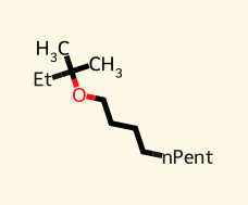 CCCCCCCCCOC(C)(C)CC